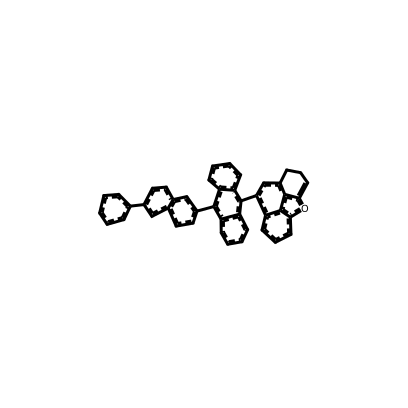 C1=c2oc3cccc4c(-c5c6ccccc6c(-c6ccc7cc(-c8ccccc8)ccc7c6)c6ccccc56)cc(c2c34)CC1